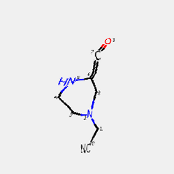 N#CCN1CCNC(=C=O)C1